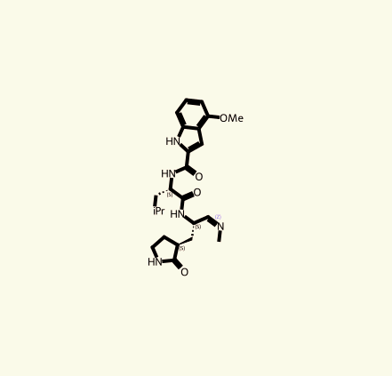 C/N=C\[C@H](C[C@@H]1CCNC1=O)NC(=O)[C@H](CC(C)C)NC(=O)c1cc2c(OC)cccc2[nH]1